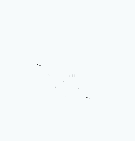 CC(C)(C1=N[C@@H](Cc2ccccc2)CO1)C1=N[C@@H](Cc2ccccc2)CO1